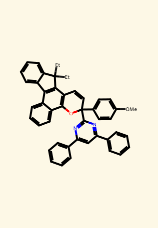 CCC1(CC)c2ccccc2-c2c1c1c(c3ccccc23)OC(c2ccc(OC)cc2)(c2nc(-c3ccccc3)cc(-c3ccccc3)n2)C=C1